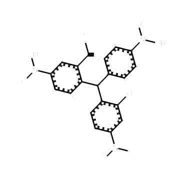 CN(C)c1ccc(C(c2ccc(N(C)C)cc2Cl)c2ccc(N(C)C)cc2C(=O)O)cc1